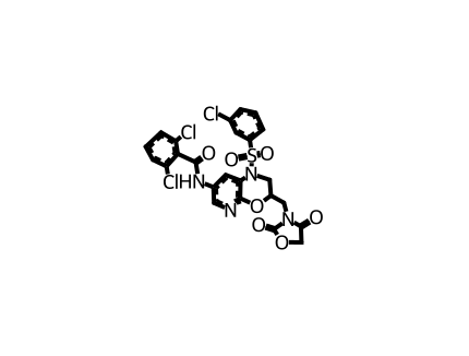 O=C(Nc1cnc2c(c1)N(S(=O)(=O)c1cccc(Cl)c1)CC(CN1C(=O)COC1=O)O2)c1c(Cl)cccc1Cl